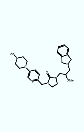 COC(CN1Cc2ccccc2C1)CN1CCN(Cc2ccc(N3CCN(C(C)=O)CC3)cn2)C1=O